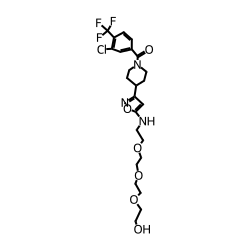 O=C(c1ccc(C(F)(F)F)c(Cl)c1)N1CCC(c2cc(NCCOCCOCCOCCO)on2)CC1